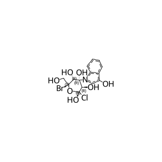 OC[C@@]1(Br)O[C@@](O)(Cl)[C@H](O)[C@](O)(n2cc(O)c3ccccc32)[C@H]1O